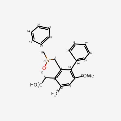 COc1cc(C(F)(F)F)c(CC(=O)O)c(C[S+](C)[O-])c1-c1ccccc1.c1ccccc1